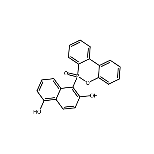 O=P1(c2c(O)ccc3c(O)cccc23)Oc2ccccc2-c2ccccc21